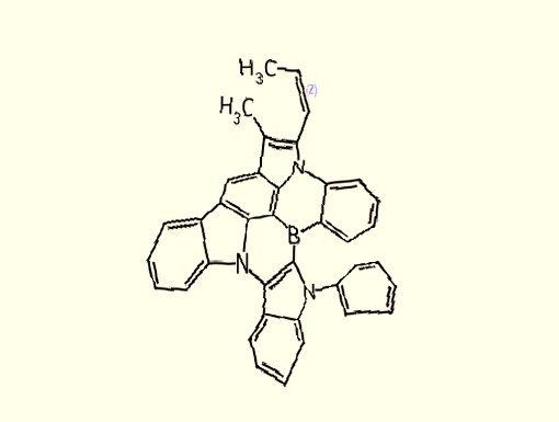 C/C=C\c1c(C)c2cc3c4ccccc4n4c3c3c2n1-c1ccccc1B3c1c-4c2ccccc2n1-c1ccccc1